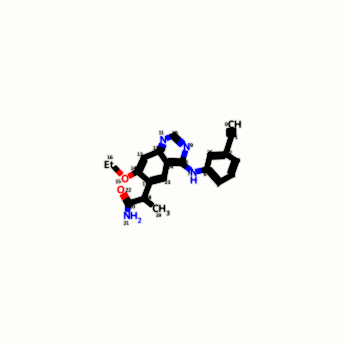 C#Cc1cccc(Nc2ncnc3cc(OCC)c(C(C)C(N)=O)cc23)c1